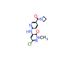 Cn1nc(Cl)cc(Nc2ccc(C(=O)N3CCC3)cn2)c1=O